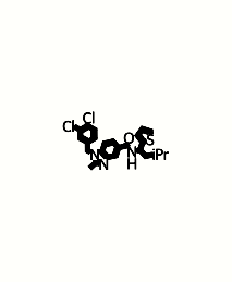 Cc1nc2cc(C(=O)NC(CC(C)C)c3cccs3)ccc2n1Cc1ccc(Cl)c(Cl)c1